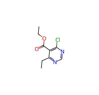 CCOC(=O)c1c(Cl)ncnc1CC